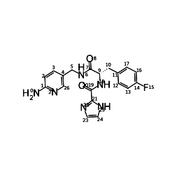 Nc1ccc(CNC(=O)[C@H](Cc2ccc(F)cc2)NC(=O)c2ncc[nH]2)cn1